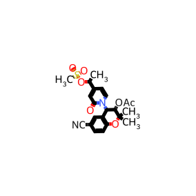 CC(=O)OC1C(n2ccc(C(C)OS(C)(=O)=O)cc2=O)c2cc(C#N)ccc2OC1(C)C